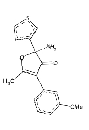 COc1cccc(C2=C(C)OC(N)(c3ccsc3)C2=O)c1